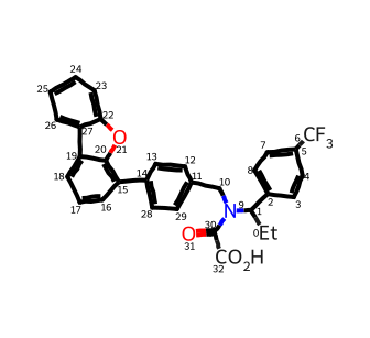 CCC(c1ccc(C(F)(F)F)cc1)N(Cc1ccc(-c2cccc3c2oc2ccccc23)cc1)C(=O)C(=O)O